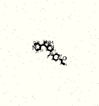 C=CC(=O)N1CCC(N(C)c2cnc3[nH]cc(-c4ccncc4)c3c2)CC1